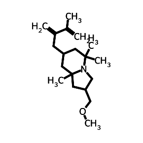 C=C(C)C(=C)CC1CC(C)(C)N2CC(COC)CC2(C)C1